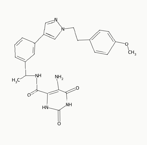 COc1ccc(CCn2cc(-c3cccc(C(C)NC(=O)c4[nH]c(=O)[nH]c(=O)c4N)c3)cn2)cc1